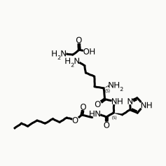 CCCCCCCCOC(=O)CNC(=O)[C@H](Cc1c[nH]cn1)NC(=O)[C@@H](N)CCCCN.NCC(=O)O